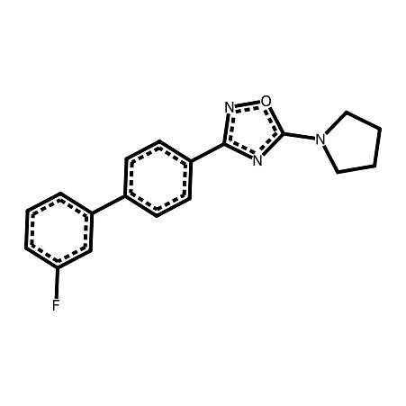 Fc1cccc(-c2ccc(-c3noc(N4CCCC4)n3)cc2)c1